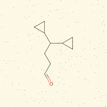 O=CCCC(C1CC1)C1CC1